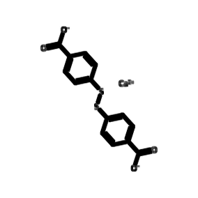 O=C([O-])c1ccc(SSc2ccc(C(=O)[O-])cc2)cc1.[Ca+2]